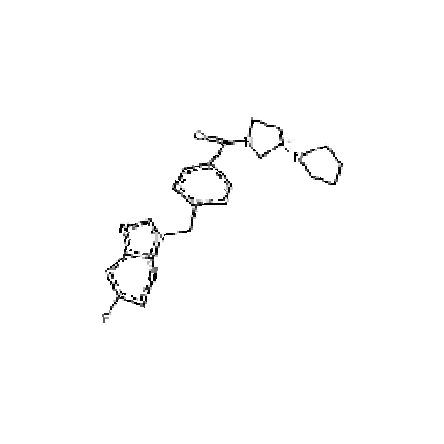 O=C(c1ccc(Cn2cnc3cc(F)ccc32)cc1)N1CC[C@H](N2CCCC2)C1